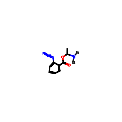 CCN(CC)C(C)OC(=O)c1ccccc1N=[N+]=[N-]